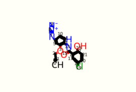 C#CCOc1cc(N=[N+]=[N-])ccc1NC(=O)c1cc(Cl)ccc1O